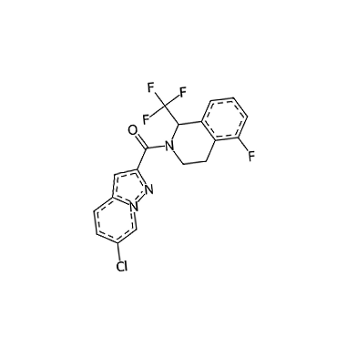 O=C(c1cc2ccc(Cl)cn2n1)N1CCc2c(F)cccc2C1C(F)(F)F